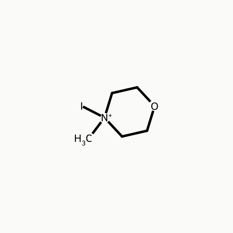 C[N+]1(I)CCOCC1